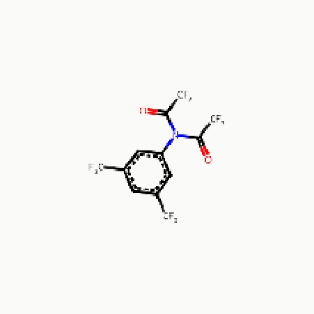 O=C(N(C(=O)C(F)(F)F)c1cc(C(F)(F)F)cc(C(F)(F)F)c1)C(F)(F)F